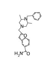 CC1CN(Cc2cc3cc(C(N)=O)ccc3o2)CC(C)N1Cc1ccccc1